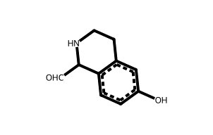 O=CC1NCCc2cc(O)ccc21